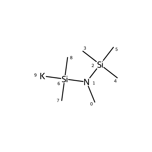 CN([Si](C)(C)C)[Si](C)(C)[K]